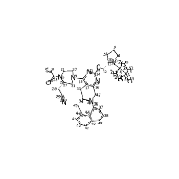 [2H]C([2H])([2H])C([2H])([2H])N1CCC[C@H]1COc1nc2c(c(N3CCN(C(=O)C=C)[C@@H](CC#N)C3)n1)CCN(c1cccc3cccc(C)c13)C2